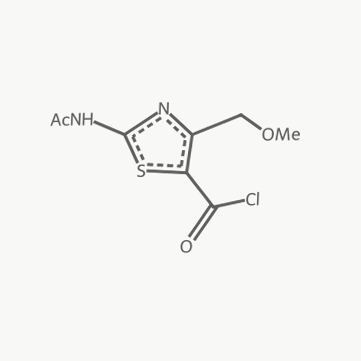 COCc1nc(NC(C)=O)sc1C(=O)Cl